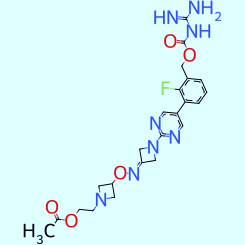 CC(=O)OCCN1CC(ON=C2CN(c3ncc(-c4cccc(COC(=O)NC(=N)N)c4F)cn3)C2)C1